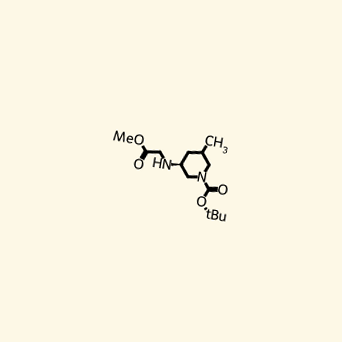 COC(=O)CN[C@H]1CC(C)CN(C(=O)OC(C)(C)C)C1